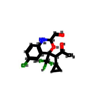 CC(=O)C(C1CC1)C1(C(F)(F)F)OC(C=O)Nc2ccc(Cl)cc21